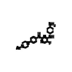 CC(=O)N1CCN(c2ccc(Nc3ncc(F)c(N[C@H]4CC[C@H](N)CC4)n3)cc2)CC1